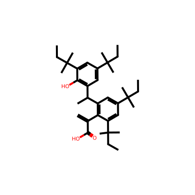 C=C(C(=O)O)c1c(C(C)c2cc(C(C)(C)CC)cc(C(C)(C)CC)c2O)cc(C(C)(C)CC)cc1C(C)(C)CC